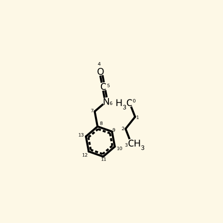 CCCC.O=C=NCc1ccccc1